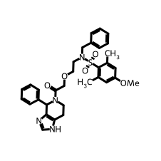 COc1cc(C)c(S(=O)(=O)N(CCOCC(=O)N2CCc3[nH]cnc3C2c2ccccc2)Cc2ccccc2)c(C)c1